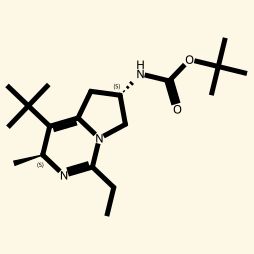 CCC1=N[C@@H](C)C(C(C)(C)C)=C2C[C@H](NC(=O)OC(C)(C)C)CN12